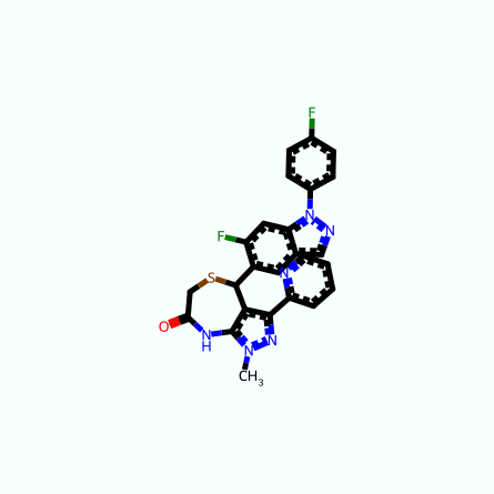 Cn1nc(-c2ccccn2)c2c1NC(=O)CSC2c1cc2cnn(-c3ccc(F)cc3)c2cc1F